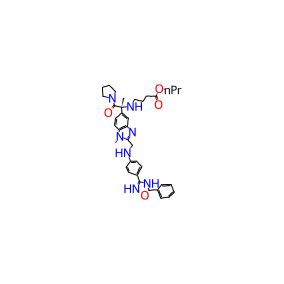 CCCOC(=O)CCCN[C@@](C)(C(=O)N1CCCC1)c1ccc2c(c1)nc(CNc1ccc(C(=N)NC(=O)c3ccccc3)cc1)n2C